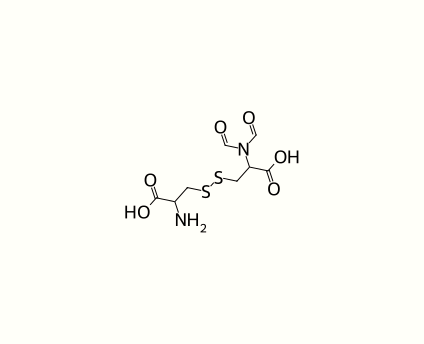 NC(CSSCC(C(=O)O)N(C=O)C=O)C(=O)O